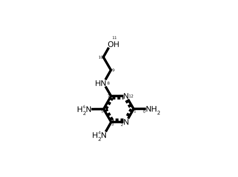 Nc1nc(N)c(N)c(NCCO)n1